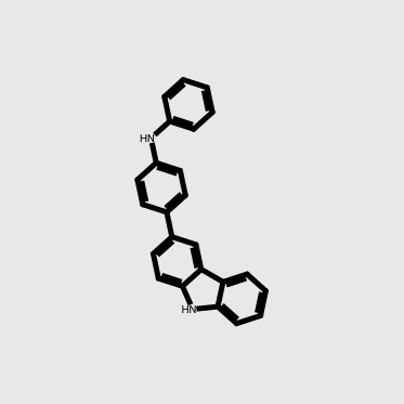 c1ccc(Nc2ccc(-c3ccc4[nH]c5ccccc5c4c3)cc2)cc1